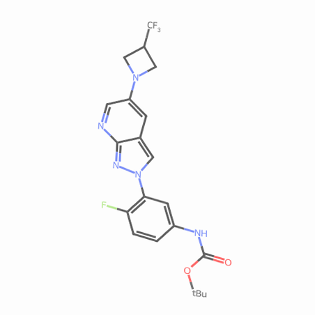 CC(C)(C)OC(=O)Nc1ccc(F)c(-n2cc3cc(N4CC(C(F)(F)F)C4)cnc3n2)c1